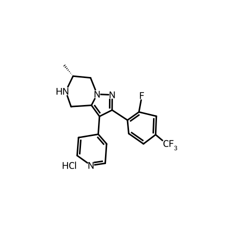 C[C@@H]1Cn2nc(-c3ccc(C(F)(F)F)cc3F)c(-c3ccncc3)c2CN1.Cl